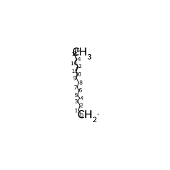 [CH2]CCCCCCCCCCC=CCCCC